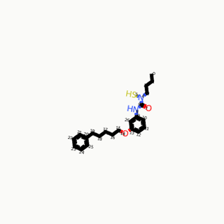 CCCCN(S)C(=O)Nc1cccc(OCCCCCc2ccccc2)c1